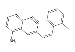 Cc1ccccc1/C=C\c1c#cc2cccc(N)c2c1